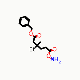 CCC(C)(CCC(=O)ON)CC(=O)OCc1ccccc1